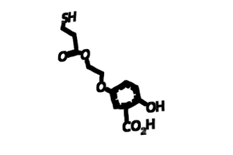 O=C(CCS)OCCOc1ccc(O)c(C(=O)O)c1